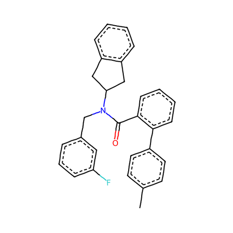 Cc1ccc(-c2ccccc2C(=O)N(Cc2cccc(F)c2)C2Cc3ccccc3C2)cc1